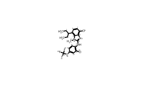 CCC(CC)c1ccc(Cl)c2nc(Nc3ccc(OC(F)(F)F)cc3Cl)n(C)c12